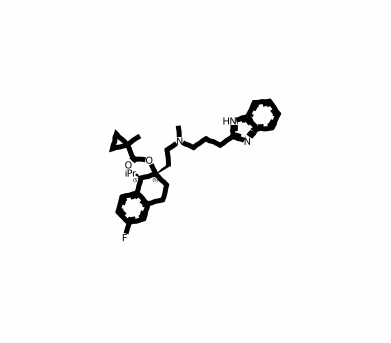 CC(C)[C@H]1c2ccc(F)cc2CC[C@@]1(CCN(C)CCCc1nc2ccccc2[nH]1)OC(=O)C1(C)CC1